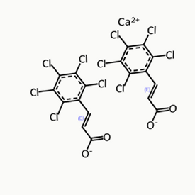 O=C([O-])/C=C/c1c(Cl)c(Cl)c(Cl)c(Cl)c1Cl.O=C([O-])/C=C/c1c(Cl)c(Cl)c(Cl)c(Cl)c1Cl.[Ca+2]